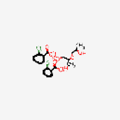 CC(O)COC(C)CO.O=C(O)c1ccccc1Cl.O=C(O)c1ccccc1Cl